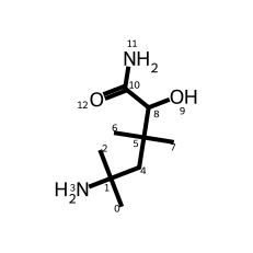 CC(C)(N)CC(C)(C)C(O)C(N)=O